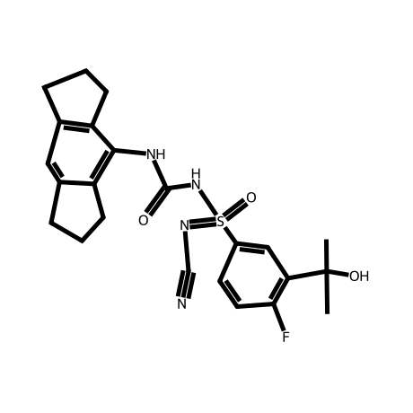 CC(C)(O)c1cc(S(=O)(=NC#N)NC(=O)Nc2c3c(cc4c2CCC4)CCC3)ccc1F